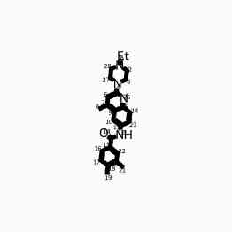 CCN1CCN(c2cc(C)c3cc(NC(=O)c4ccc(C)c(C)c4)ccc3n2)CC1